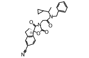 CC(C1CC1)N(Cc1ccccc1)C(=O)CN1C(=O)O[C@]2(CCc3cc(C#N)ccc32)C1=O